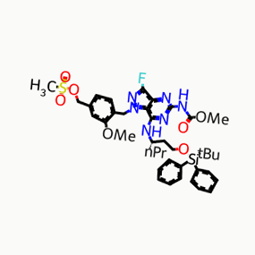 CCC[C@@H](CCO[Si](c1ccccc1)(c1ccccc1)C(C)(C)C)Nc1nc(NC(=O)OC)nc2c(F)nn(Cc3ccc(COS(C)(=O)=O)cc3OC)c12